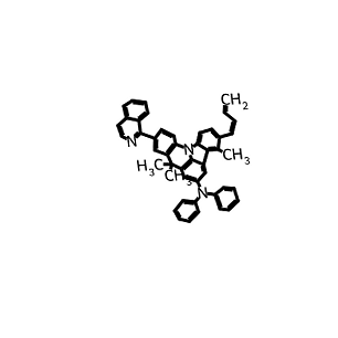 C=C/C=C\c1ccc2c(c1C)c1cc(N(c3ccccc3)c3ccccc3)cc3c1n2-c1ccc(-c2nccc4ccccc24)cc1C3(C)C